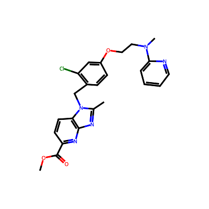 COC(=O)c1ccc2c(n1)nc(C)n2Cc1ccc(OCCN(C)c2ccccn2)cc1Cl